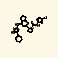 O=C(Nc1ccc(Cl)s1)[C@@H]1CCCN1c1nc2c(c(Nc3cc(C4CCCCC4)[nH]n3)n1)CCC2